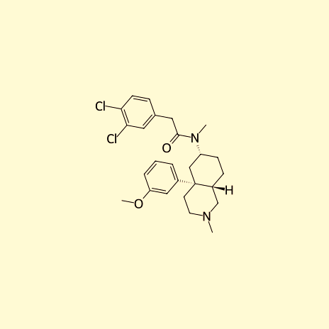 COc1cccc([C@@]23CCN(C)C[C@H]2CC[C@@H](N(C)C(=O)Cc2ccc(Cl)c(Cl)c2)C3)c1